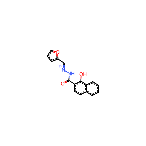 O=C(N/N=C/c1ccco1)c1ccc2ccccc2c1O